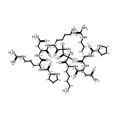 CC(=O)C(Cl)(C(=O)[C@H](CCCCN)NC(=O)[C@H](CC(N)=O)NC(=O)[C@H](CCCNC(=N)N)NC(=O)[C@@H]1CCCN1)C(=O)C(Cl)(C(C)=O)C(=O)[C@H](CCCCN)NC(=O)[C@H](CC(N)=O)NC(=O)[C@H](CCCNC(=N)N)NC(=O)[C@@H]1CCCN1